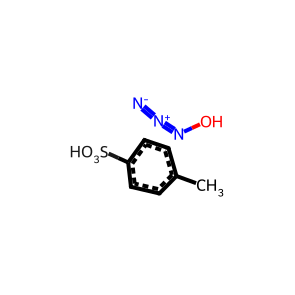 Cc1ccc(S(=O)(=O)O)cc1.[N-]=[N+]=NO